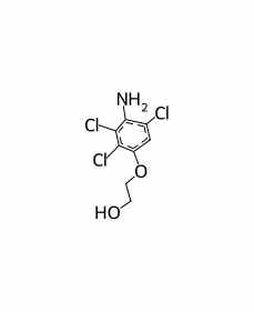 Nc1c(Cl)cc(OCCO)c(Cl)c1Cl